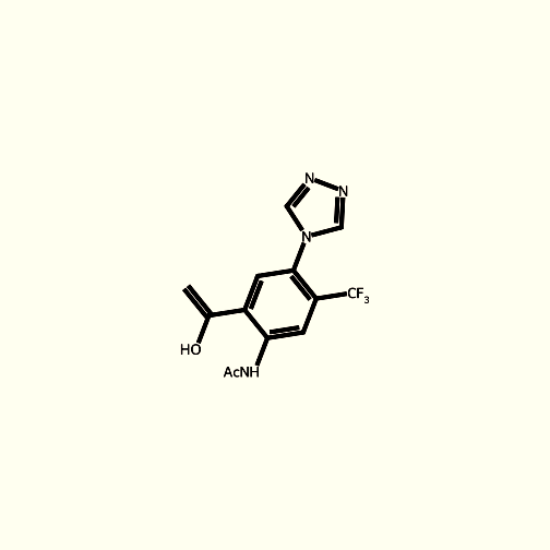 C=C(O)c1cc(-n2cnnc2)c(C(F)(F)F)cc1NC(C)=O